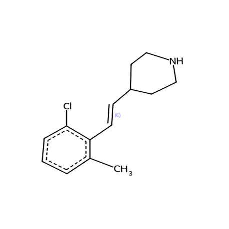 Cc1cccc(Cl)c1/C=C/C1CCNCC1